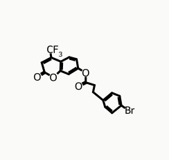 O=C(CCc1ccc(Br)cc1)Oc1ccc2c(C(F)(F)F)cc(=O)oc2c1